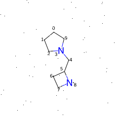 C1CCN(CC2CC[N]2)C1